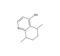 CC1CCC(C)c2c(O)ccnc21